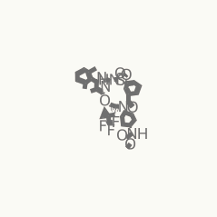 COC(=O)N[C@H]1CC[C@@H](N2C(=O)c3cccc(c3)S(=O)(=O)Nc3nc(c(C)c(-c4c(C)cccc4C)n3)OC[C@H]2CC2(C(F)(F)F)CC2)CC1